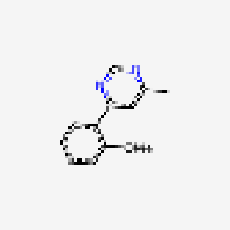 COc1ccccc1-c1cc(C)ncn1